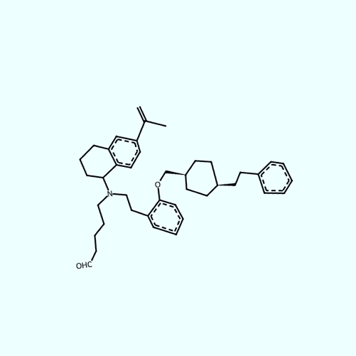 C=C(C)c1ccc2c(c1)CCCC2N(CCCCC=O)CCc1ccccc1OC[C@H]1CC[C@@H](CCc2ccccc2)CC1